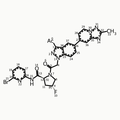 CC(=O)c1nn(CC(=O)N2C[C@H](F)C[C@H]2C(=O)Nc2cccc(Br)n2)c2ccc(-c3ccn4nc(C)nc4c3)cc12